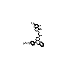 COc1ccc(N(Cc2ccccn2)C2CCN([C@H](C)CCNC(=O)c3c(C)cc(Cl)nc3C)CC2)cc1